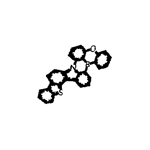 c1ccc2c(c1)Oc1cccc3c1B2c1cccc2c4c5sc6ccccc6c5ccc4n-3c12